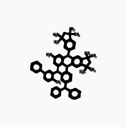 Cc1cc2c3c(c1)N(c1cc(-c4ccccc4)ccc1C)c1cc(N(c4ccccc4)c4ccccc4)ccc1C3c1cc3c(cc1N2c1ccc2c(c1)C(C)(C)CC2(C)C)C(C)(C)CC3(C)C